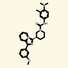 COc1cccc(-c2nc([C@@H]3CCCN(C(=O)Nc4ccc(N(C)C)c(C)c4)C3)n3ccccc23)c1